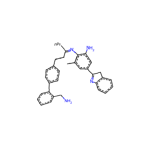 CCC/C(CCc1ccc(-c2ccccc2CN)cc1)=N/c1c(C)cc(C2=Nc3ccccc3C2)cc1N